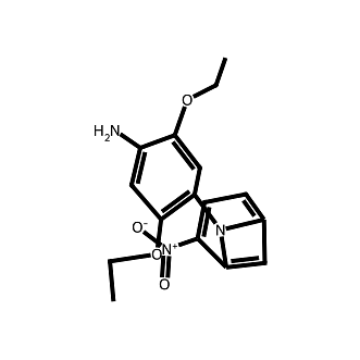 CCOc1cc(N2C3=CC=C([N+](=O)[O-])C2=C3)c(OCC)cc1N